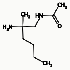 CCCC[C@@](C)(N)CNC(C)=O